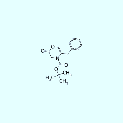 CC(C)(C)OC(=O)N1CC(=O)OC=C1Cc1ccccc1